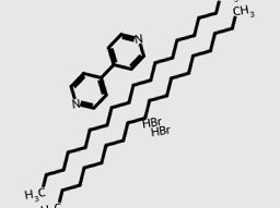 Br.Br.CCCCCCCCCCCCCCCCCC.CCCCCCCCCCCCCCCCCC.c1cc(-c2ccncc2)ccn1